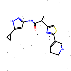 CC(C(=O)Nc1cc(C2CC2)[nH]n1)c1csc(C2=CCCNC2)n1